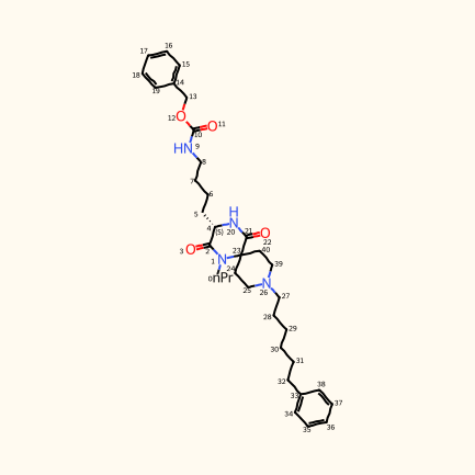 CCCN1C(=O)[C@H](CCCCNC(=O)OCc2ccccc2)NC(=O)C12CCN(CCCCCCc1ccccc1)CC2